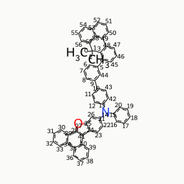 CC1(C)c2c(-c3cccc(-c4ccc(N(c5ccccc5)c5ccc6c(c5)oc5c7ccccc7c7ccccc7c65)cc4)c3)cccc2-c2cccc3cccc1c23